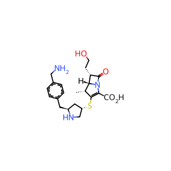 C[C@H]1C(S[C@@H]2CN[C@@H](Cc3ccc(CN)cc3)C2)=C(C(=O)O)N2C(=O)[C@@H](CCO)[C@@H]12